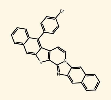 Brc1ccc(-c2c3ccccc3cc3sc4c(ccn5c6cc7ccccc7cc6nc45)c23)cc1